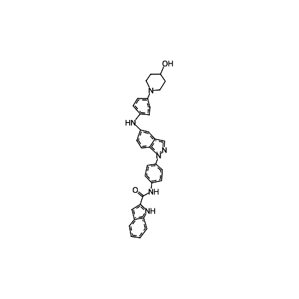 O=C(Nc1ccc(-n2ncc3cc(Nc4ccc(N5CCC(O)CC5)cc4)ccc32)cc1)c1cc2ccccc2[nH]1